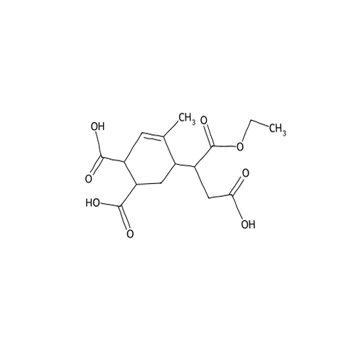 CCOC(=O)C(CC(=O)O)C1CC(C(=O)O)C(C(=O)O)C=C1C